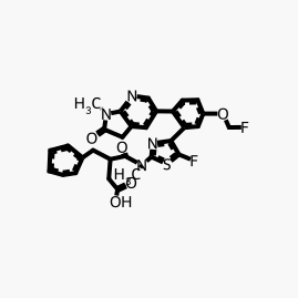 CN(C(=O)C(CC(=O)O)Cc1ccccc1)c1nc(-c2cc(OCF)ccc2-c2cnc3c(c2)CC(=O)N3C)c(F)s1